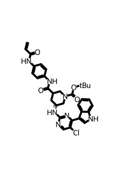 C=CC(=O)Nc1ccc(NC(=O)C2C[C@@H](Nc3ncc(Cl)c(-c4c[nH]c5ccccc45)n3)CN(C(=O)OC(C)(C)C)C2)cc1